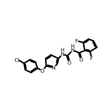 O=C(NC(=O)c1c(F)cccc1F)Nc1ccc(Oc2ccc(Cl)cc2)nc1